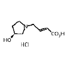 Cl.O=C(O)/C=C/CN1CC[C@H](O)C1